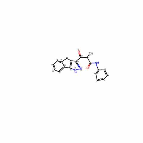 N#CC(C(=O)Nc1ccccc1)C(=O)c1n[nH]c2c1Cc1ccccc1-2